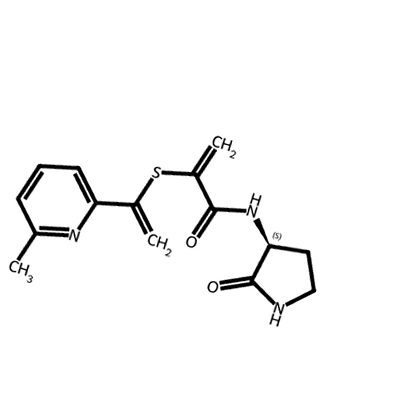 C=C(SC(=C)c1cccc(C)n1)C(=O)N[C@H]1CCNC1=O